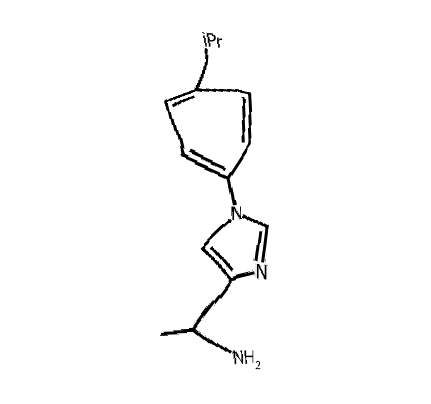 CC(C)c1ccc(-n2cnc(C(C)N)c2)cc1